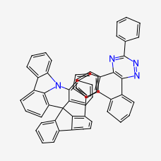 c1ccc(-c2nnc(-c3ccccc3-c3ccccc3-c3cccc4c3C3(c5ccccc5-4)c4ccccc4-n4c5ccccc5c5cccc3c54)c(-c3ccccc3)n2)cc1